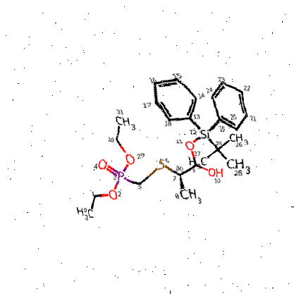 CCOP(=O)(CS[C@H](C)C(O)O[Si](c1ccccc1)(c1ccccc1)C(C)(C)C)OCC